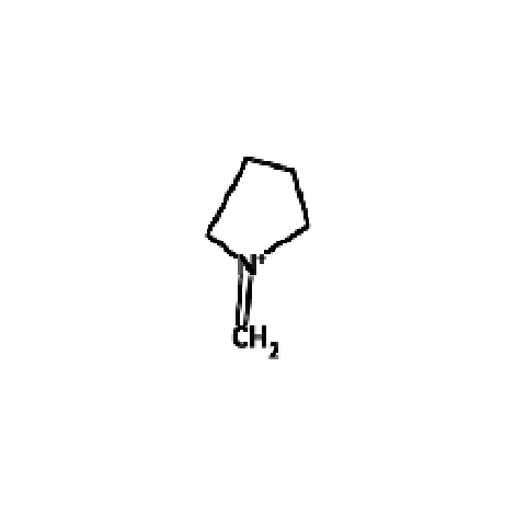 C=[N+]1CCCC1